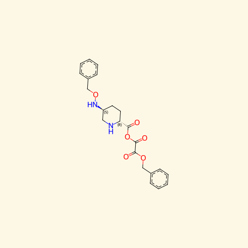 O=C(OCc1ccccc1)C(=O)OC(=O)[C@H]1CC[C@H](NOCc2ccccc2)CN1